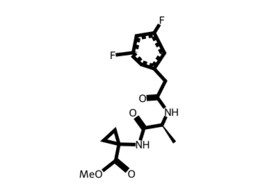 COC(=O)C1(NC(=O)[C@H](C)NC(=O)Cc2cc(F)cc(F)c2)CC1